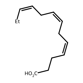 CC/C=C\C/C=C\C/C=C\CCC(=O)O